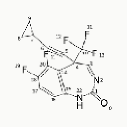 O=C1N=CC(C#CC2CC2)(C(F)(F)F)c2c(ccc(F)c2F)N1